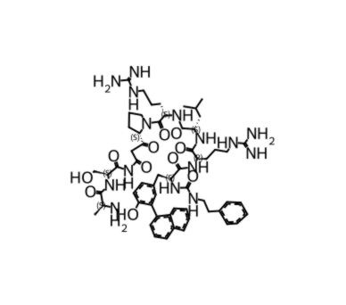 CC(C)C[C@H](NC(=O)[C@@H](CCCNC(=N)N)NC(=O)[C@H](Cc1ccc(O)c(-c2cccc3ccccc23)c1)NC(=O)NCCc1ccccc1)C(=O)N[C@@H](CCCNC(=N)N)C(=O)N1CCC[C@H]1C(=O)CC(=O)NC(=O)[C@H](CO)NC(=O)[C@H](C)N